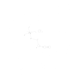 C[N+](C)(C)CCOC=O.[Cl-]